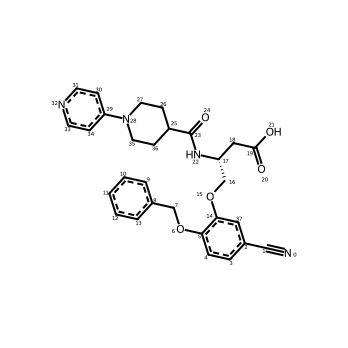 N#Cc1ccc(OCc2ccccc2)c(OC[C@@H](CC(=O)O)NC(=O)C2CCN(c3ccncc3)CC2)c1